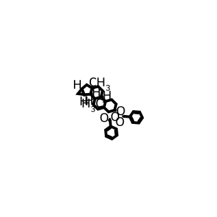 C[C@]12CC[C@H]3[C@@H](CC=C4CC(OC(=O)c5ccccc5)(OC(=O)c5ccccc5)CC[C@@]43C)[C@@H]1[C@@H]1C[C@@H]1C2